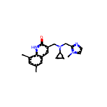 Cc1cc(C)c2[nH]c(=O)c(CN(Cc3nccn3C)C3CC3)cc2c1